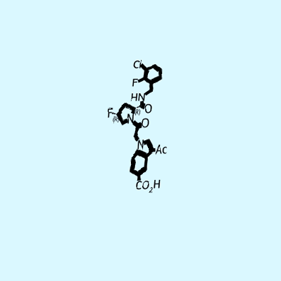 CC(=O)c1cn(CC(=O)N2C[C@H](F)C[C@@H]2C(=O)NCc2cccc(Cl)c2F)c2ccc(C(=O)O)cc12